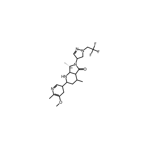 COC1=C(C)N=CC(C2CC(C)C3C(=O)N(C4C=NN(CC(F)(F)F)C4)[C@@H](C)C3N2)C1